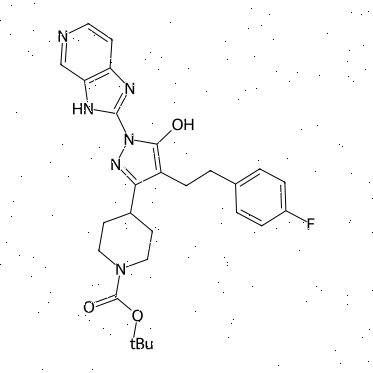 CC(C)(C)OC(=O)N1CCC(c2nn(-c3nc4ccncc4[nH]3)c(O)c2CCc2ccc(F)cc2)CC1